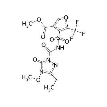 CCc1nn(C(=O)NS(=O)(=O)c2c(C(=O)OC)coc2C(F)(F)F)c(=O)n1OC